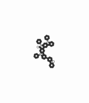 O=c1c2cc3c(cc2c2cc4c5ccccc5n(-c5ccccc5)c4cc2n1-c1ccccc1)c1cc(-c2ccc4oc5ccccc5c4c2)ccc1n3-c1ccccc1